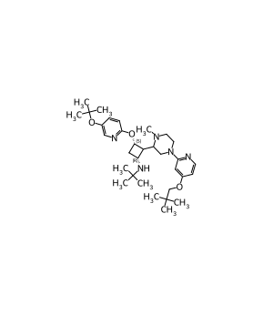 CN1CCN(c2cc(OCC(C)(C)C)ccn2)CC1C1[C@@H](Oc2ccc(OC(C)(C)C)cn2)C[C@H]1NC(C)(C)C